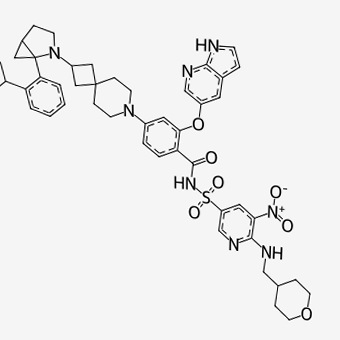 CC(C)c1ccccc1C12CC1CCN2C1CC2(CCN(c3ccc(C(=O)NS(=O)(=O)c4cnc(NCC5CCOCC5)c([N+](=O)[O-])c4)c(Oc4cnc5[nH]ccc5c4)c3)CC2)C1